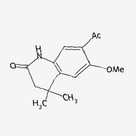 COc1cc2c(cc1C(C)=O)NC(=O)CC2(C)C